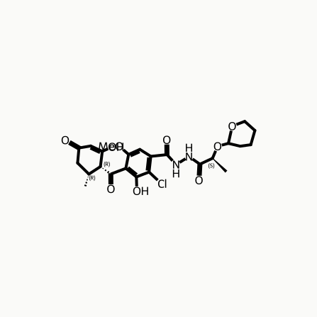 COc1cc(C(=O)NNC(=O)[C@H](C)OC2CCCCO2)c(Cl)c(O)c1C(=O)[C@H]1C(O)=CC(=O)C[C@H]1C